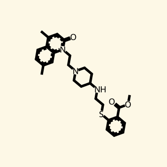 COC(=O)c1ccccc1SCCNC1CCN(CCn2c(=O)cc(C)c3ccc(C)cc32)CC1